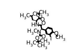 COC(=O)[C@H](CC(C)C)NC(=O)[C@H](c1ccc(OC)c(I)c1)N(C)C(=O)OC(C)(C)C